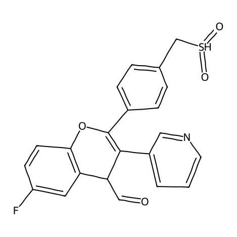 O=CC1C(c2cccnc2)=C(c2ccc(C[SH](=O)=O)cc2)Oc2ccc(F)cc21